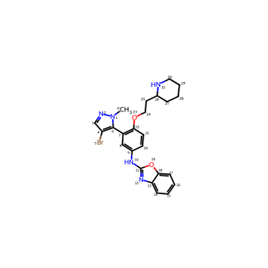 Cn1ncc(Br)c1-c1cc(Nc2nc3ccccc3o2)ccc1OCCC1CCCCN1